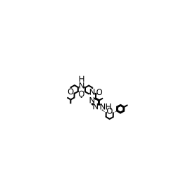 CO[C@H]1C(CC(C)C)OCC[C@H]1NC1CCN(C(=O)c2ncnc(NC[C@H]3CCC[C@@H](c4ccc(C)cc4)O3)c2C)CC1